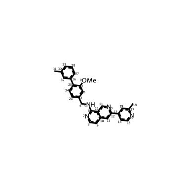 COc1cc(CNc2nccc3cc(-c4ccnc(C)c4)ncc23)ccc1-c1cccc(C)c1